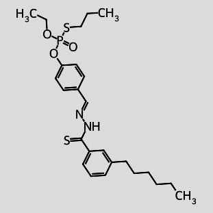 CCCCCCc1cccc(C(=S)NN=Cc2ccc(OP(=O)(OCC)SCCC)cc2)c1